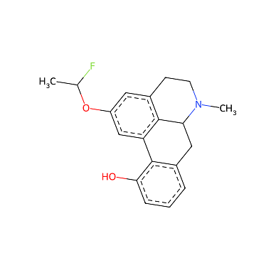 CC(F)Oc1cc2c3c(c1)-c1c(O)cccc1CC3N(C)CC2